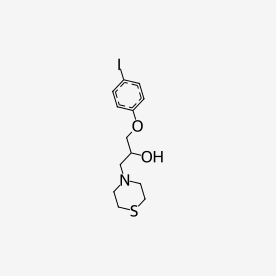 OC(COc1ccc(I)cc1)CN1CCSCC1